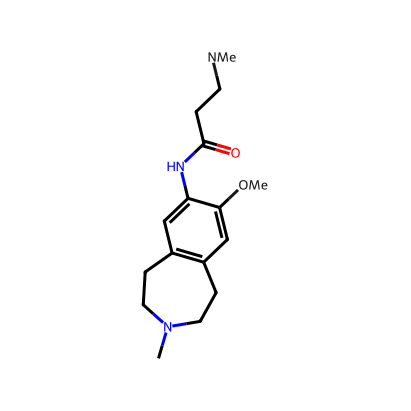 CNCCC(=O)Nc1cc2c(cc1OC)CCN(C)CC2